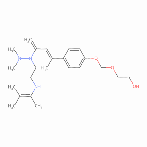 C=C(/C=C(\C)c1ccc(OCOCCO)cc1)N(CCNC(C)=C(C)C)N(C)C